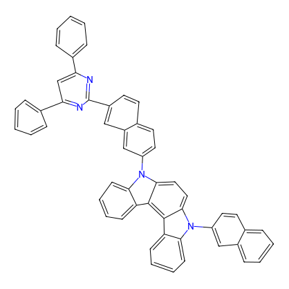 c1ccc(-c2cc(-c3ccccc3)nc(-c3ccc4ccc(-n5c6ccccc6c6c7c8ccccc8n(-c8ccc9ccccc9c8)c7ccc65)cc4c3)n2)cc1